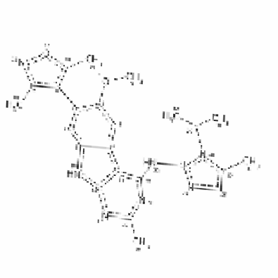 COc1cc2c(cc1-c1c(C)noc1C)[nH]c1nc(C)nc(Nc3ncc(C)n3C(C)C)c12